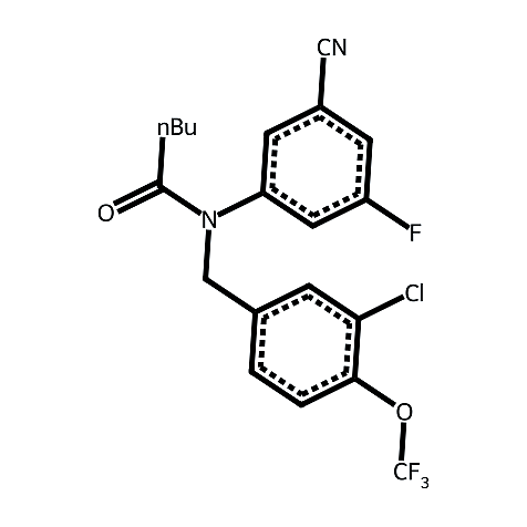 CCCCC(=O)N(Cc1ccc(OC(F)(F)F)c(Cl)c1)c1cc(F)cc(C#N)c1